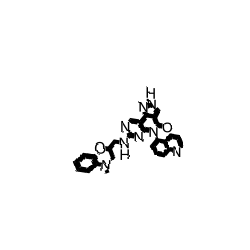 CN1CC(CNc2ncc3c4n[nH]cc4c(=O)n(-c4cccc5ncccc45)c3n2)Oc2ccccc21